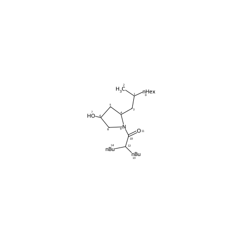 CCCCCCC(C)CC1CC(O)CN1C(=O)C(CCCC)CCCC